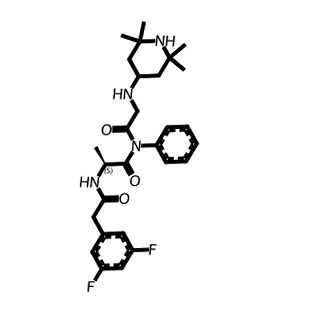 C[C@H](NC(=O)Cc1cc(F)cc(F)c1)C(=O)N(C(=O)CNC1CC(C)(C)NC(C)(C)C1)c1ccccc1